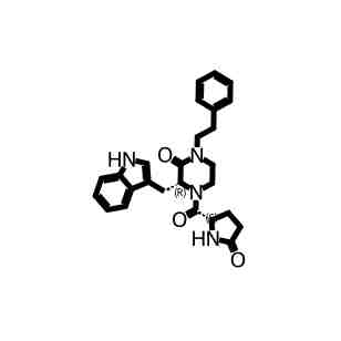 O=C1CC[C@@H](C(=O)N2CCN(CCc3ccccc3)C(=O)[C@H]2Cc2c[nH]c3ccccc23)N1